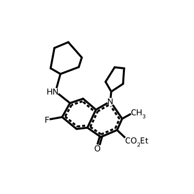 CCOC(=O)c1c(C)n(C2CCCC2)c2cc(NC3CCCCC3)c(F)cc2c1=O